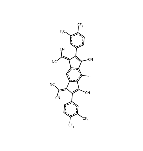 N#CC(C#N)=C1C(c2ccc(C(F)(F)F)c(C(F)(F)F)c2)=C(C#N)c2c1cc1c(c2F)C(C#N)=C(c2ccc(C(F)(F)F)c(C(F)(F)F)c2)C1=C(C#N)C#N